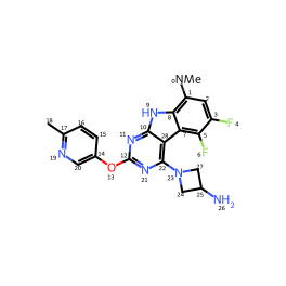 CNc1cc(F)c(F)c2c1[nH]c1nc(Oc3ccc(C)nc3)nc(N3CC(N)C3)c12